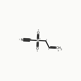 C=CCS(=O)(=O)C#N